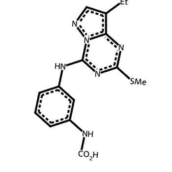 CCc1cnn2c(Nc3cccc(NC(=O)O)c3)nc(SC)nc12